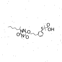 CCCCCC(C)n1nc(OCCCc2cccc(SC(C)(C)C(=O)O)c2)c(=O)n(C)c1=O